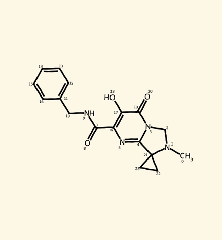 CN1Cn2c(nc(C(=O)NCc3ccccc3)c(O)c2=O)C12CC2